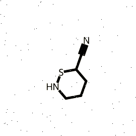 N#CC1CCCNS1